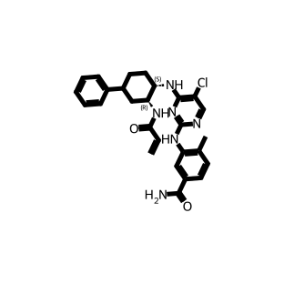 C=CC(=O)N[C@@H]1CC(c2ccccc2)CC[C@@H]1Nc1nc(Nc2cc(C(N)=O)ccc2C)ncc1Cl